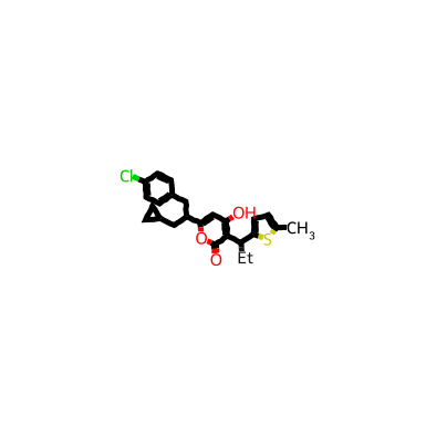 CCC(c1ccc(C)s1)c1c(O)cc(C(Cc2ccc(Cl)cc2)CC2CC2)oc1=O